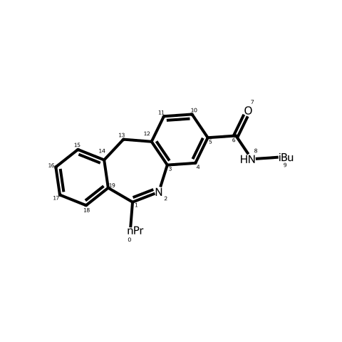 CCCC1=Nc2cc(C(=O)NC(C)CC)ccc2Cc2ccccc21